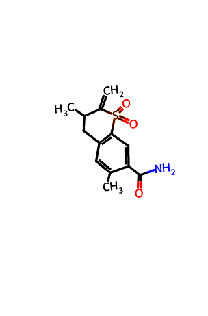 C=C1C(C)Cc2cc(C)c(C(N)=O)cc2S1(=O)=O